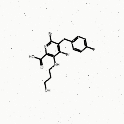 O=C(O)c1nc(Br)c(Cc2ccc(F)cc2)c(Br)c1NCCCO